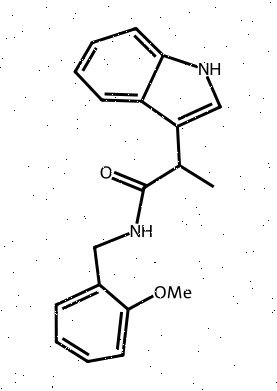 COc1ccccc1CNC(=O)C(C)c1c[nH]c2ccccc12